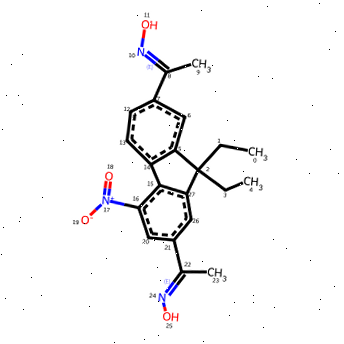 CCC1(CC)c2cc(/C(C)=N/O)ccc2-c2c([N+](=O)[O-])cc(/C(C)=N/O)cc21